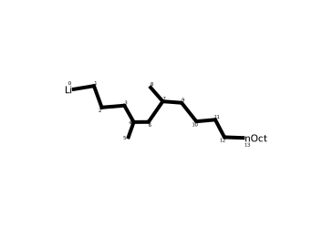 [Li][CH2]CCC(C)CC(C)CCCCCCCCCCCC